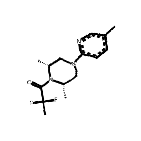 Cc1ccc(N2C[C@@H](C)N(C(=O)C(C)(F)F)[C@@H](C)C2)nc1